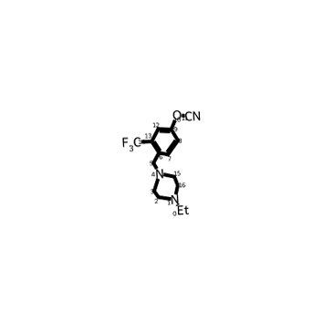 CCN1CCN(Cc2ccc(OC#N)cc2C(F)(F)F)CC1